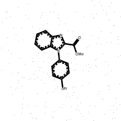 CCCc1ccc(-n2c(C(=O)OC)nc3ccccc32)cc1